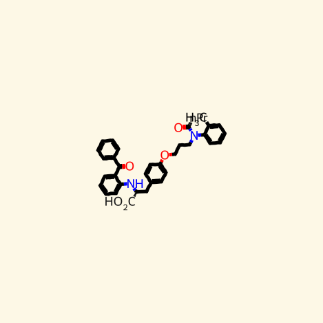 CCCC(=O)N(CCCOc1ccc(C[C@H](Nc2ccccc2C(=O)c2ccccc2)C(=O)O)cc1)c1ccccc1C